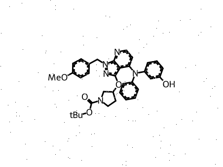 COc1ccc(Cn2nc(OC3CCN(C(=O)OC(C)(C)C)C3)c3c(N(c4ccccc4)c4cccc(O)c4)ccnc32)cc1